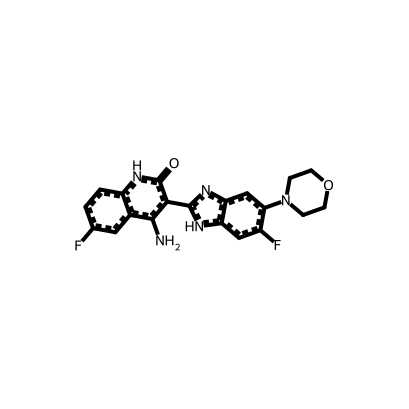 Nc1c(-c2nc3cc(N4CCOCC4)c(F)cc3[nH]2)c(=O)[nH]c2ccc(F)cc12